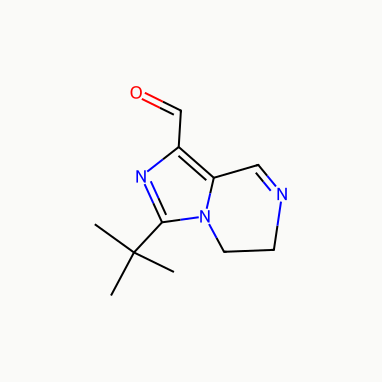 CC(C)(C)c1nc(C=O)c2n1CCN=C2